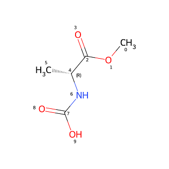 COC(=O)[C@@H](C)NC(=O)O